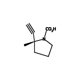 C#C[C@@]1(C)CCCN1C(=O)O